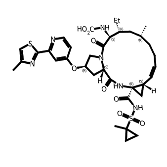 CC[C@@H]1C[C@H](C)CCC=C[C@@H]2C[C@@]2(C(=O)NS(=O)(=O)C2(C)CC2)NC(=O)[C@@H]2C[C@@H](Oc3ccnc(-c4nc(C)cs4)c3)CN2C(=O)[C@H]1NC(=O)O